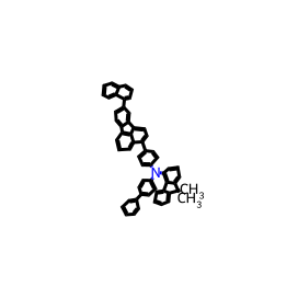 CC1(C)c2ccccc2-c2c(N(c3ccc(-c4ccccc4)cc3)c3ccc(-c4ccc5c6c(cccc46)-c4ccc(-c6cccc7ccccc67)cc4-5)cc3)cccc21